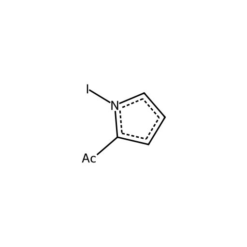 CC(=O)c1cccn1I